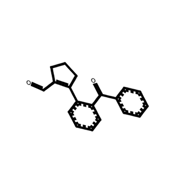 O=CC1=C(c2ccccc2C(=O)c2ccccc2)CCC1